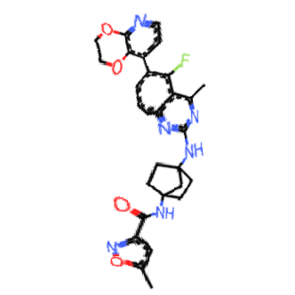 Cc1cc(C(=O)NC23CCC(Nc4nc(C)c5c(F)c(-c6ccnc7c6OCCO7)ccc5n4)(CC2)C3)no1